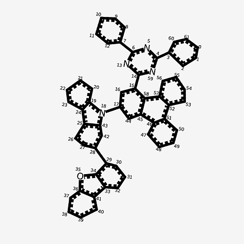 c1ccc(-c2nc(-c3ccccc3)nc(-c3cc(-n4c5ccccc5c5ccc(-c6cccc7c6oc6ccccc67)cc54)cc4c5ccccc5c5ccccc5c34)n2)cc1